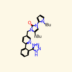 CCCCc1cn(-c2cccn2C(C)CC)c(=O)n1Cc1ccc(-c2ccccc2-c2nnn[nH]2)nc1